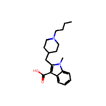 CCCCN1CCC(Cc2c(C(=O)O)c3ccccc3n2C)CC1